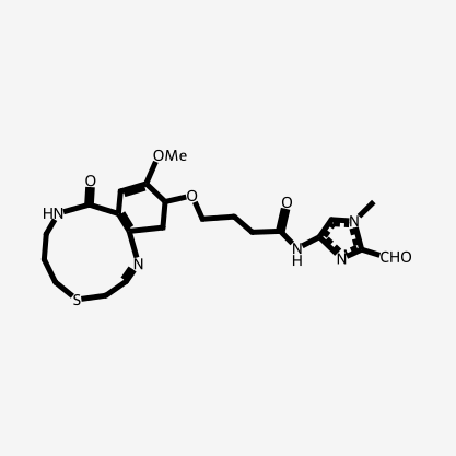 COC1=CC2=C(CC1OCCCC(=O)Nc1cn(C)c(C=O)n1)/N=C\CSCCCNC2=O